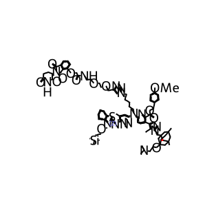 COc1ccc(COC(=O)c2nc(N(CCCCCn3cc(COCCOCCNC(=O)COc4cccc5c4C(=O)N(C4CCC(=O)NC4=O)C5=O)nn3)c3cc(C)c(/N=c4\sc5ccccc5n4COCC[Si](C)(C)C)nn3)ccc2-c2cnn(CC34CC5(C)CC(C)(C3)CC(OCCN(C)C)(C5)C4)c2C)cc1